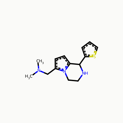 CN(C)Cc1ccc2n1CCNC2c1cccs1